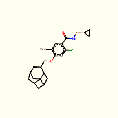 COc1cc(C(=O)NSC2CC2)c(F)cc1OCC12CC3CC4CC(C1)C4(C3)C2